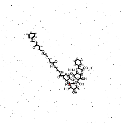 CC[C@@H]1CC(C(=O)NCCNC(=O)CCOCCOCCC(=O)OCc2ccccc2)C[C@@H](O[C@@H]2OC(CO)[C@H](O)C(O[C@@H](CC3CCCCC3)C(=O)O)C2NC(C)=O)C1O[C@@H]1OC(C)[C@@H](O)C(O)C1O